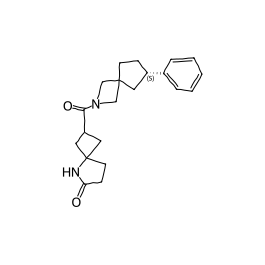 O=C1CCC2(CC(C(=O)N3CC4(CC[C@H](c5ccccc5)C4)C3)C2)N1